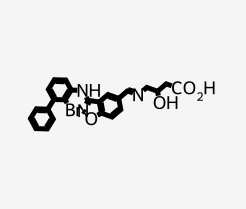 O=C(O)CC(O)CN=Cc1ccc2onc(Nc3cccc(-c4ccccc4)c3Br)c2c1